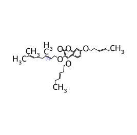 CCC=CCCOc1ccc2c(OCCC=CCC)c(OC/C=C(\C)CCC=C(C)C)c(=O)oc2c1